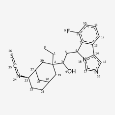 CCC1(C(O)CC2c3c(F)cccc3-c3cncn32)CC2CC[C@@H](N=C=S)C(C2)C1